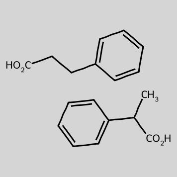 CC(C(=O)O)c1ccccc1.O=C(O)CCc1ccccc1